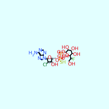 Nc1ncnc2c1ncn2[C@@H]1O[C@H](COP(=O)(S)OP(=O)(O)OC2OC([C@@H](F)CO)C(O)C(O)C2O)[C@@H](O)[C@H]1Cl